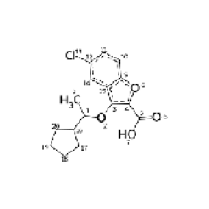 CC(Oc1c(C(=O)O)oc2ccc(Cl)cc12)C1CCCC1